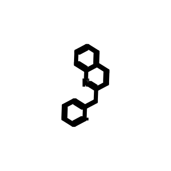 [c]1ccccc1Cc1ccc2ccccc2n1